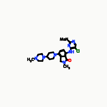 CNc1ncc(Cl)c(Nc2ccc(N3CCC(N4CCN(C)CC4)CC3)c3c2C(=O)N(C)C3)n1